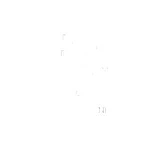 O=C(OC(=O)C(F)(F)F)C1CNCCO1